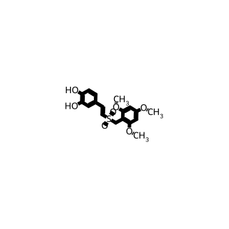 COc1cc(OC)c(CS(=O)(=O)C=Cc2ccc(O)c(O)c2)c(OC)c1